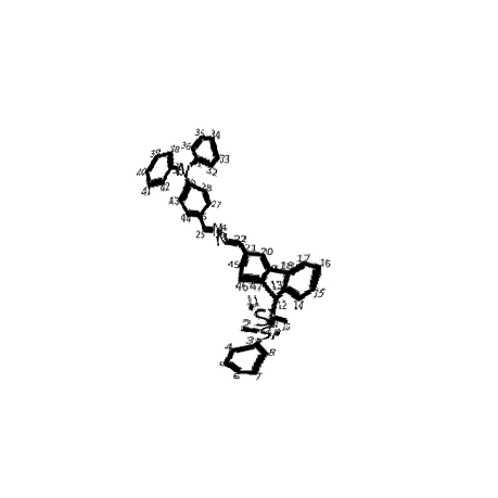 C[Si](C)(c1ccccc1)[Si](C)(C)C1c2ccccc2-c2cc(/C=N/N=C/c3ccc(N(c4ccccc4)c4ccccc4)cc3)ccc21